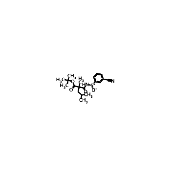 CC(C)CC(C)(C(=O)N[S+]([O-])c1cccc(C#N)c1)C(=O)OC(C)(C)C